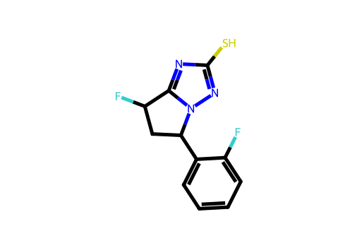 Fc1ccccc1C1CC(F)c2nc(S)nn21